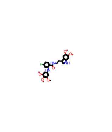 COc1cc2[nH]cc(CCNC(=O)c3ccc(F)cc3Nc3cc(OC)c(OC)c(OC)c3)c2cc1OC